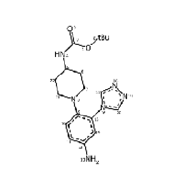 CC(C)(C)OC(=O)NC1CCN(c2ccc(N)cc2-n2cnnc2)CC1